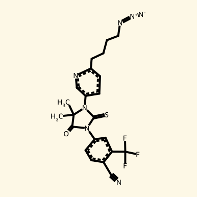 CC1(C)C(=O)N(c2ccc(C#N)c(C(F)(F)F)c2)C(=S)N1c1ccc(CCCCN=[N+]=[N-])nc1